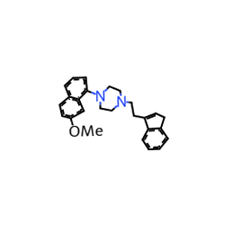 COc1ccc2cccc(N3CCN(CCC4=CCc5ccccc54)CC3)c2c1